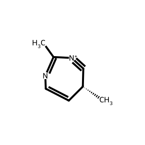 CC1=NC=C[C@@H](C)C#[N+]1